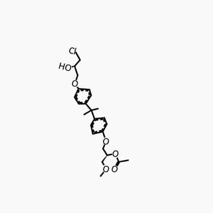 COC[C@@H](COc1ccc(C(C)(C)c2ccc(OC[C@@H](O)CCl)cc2)cc1)OC(C)=O